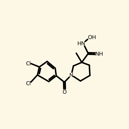 CC1(C(=N)NO)CCCN(C(=O)c2ccc(Cl)c(Cl)c2)C1